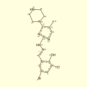 Oc1c(Cl)cc(Br)cc1/C=N/Nc1ncc(F)c(N2CCNCC2)n1